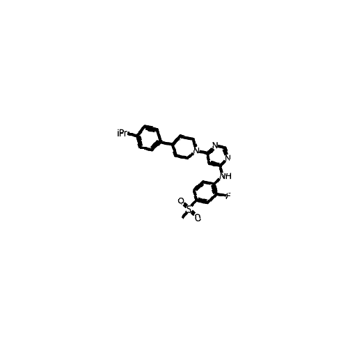 CC(C)c1ccc(C2CCN(c3cc(Nc4ccc(S(C)(=O)=O)cc4F)ncn3)CC2)cc1